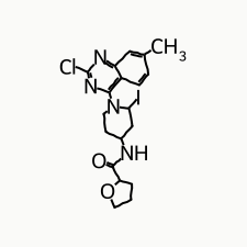 Cc1ccc2c(N3CCC(NC(=O)C4CCCO4)CC3I)nc(Cl)nc2c1